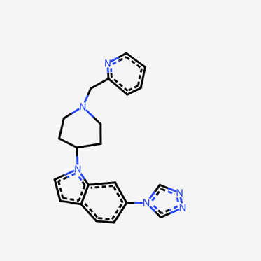 c1ccc(CN2CCC(n3ccc4ccc(-n5cnnc5)cc43)CC2)nc1